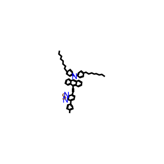 CCCCCCCCc1ccc(N(c2ccc(CCCCCCCC)cc2)c2c3ccccc3c(C#Cc3ccc(-c4ccc(C)cc4)c4nsnc34)c3ccccc23)cc1